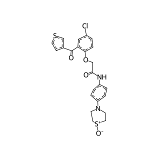 O=C(COc1ccc(Cl)cc1C(=O)c1ccsc1)Nc1ccc(N2CC[S+]([O-])CC2)cc1